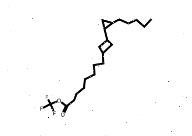 CCCCCC1CC1C1CC(CCCCCCCC(=O)OC(F)(F)F)C1